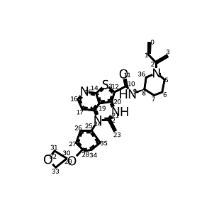 C=CC(=C)N1CCC[C@@H](NC(=O)c2sc3nccc4c3c2[nH]c(=C)n4-c2ccc(OC3COC3)cc2)C1